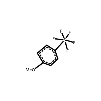 COc1ccc(S(F)(F)(F)(F)F)cc1